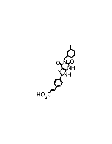 CC1CCCC(Cn2c(=O)[nH]c3[nH]c(-c4ccc(C=CC(=O)O)cc4)nc3c2=O)C1